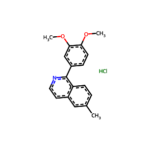 COc1ccc(-c2nccc3cc(C)ccc23)cc1OC.Cl